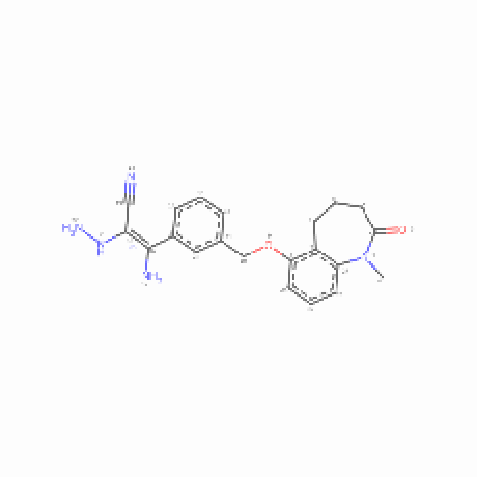 CN1C(=O)CCCc2c(OCc3cccc(/C(N)=C(\C#N)NN)c3)cccc21